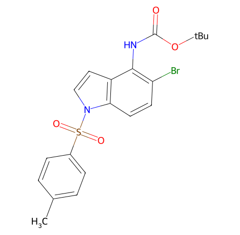 Cc1ccc(S(=O)(=O)n2ccc3c(NC(=O)OC(C)(C)C)c(Br)ccc32)cc1